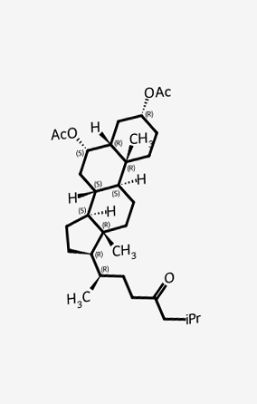 CC(=O)O[C@@H]1CC[C@]2(C)[C@H]3CC[C@]4(C)[C@@H]([C@H](C)CCC(=O)CC(C)C)CC[C@H]4[C@@H]3C[C@H](OC(C)=O)[C@@H]2C1